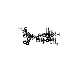 C=CC(=O)N1CCN(c2nc(OC[C@@H]3C[C@@H](OCCOCC(=O)NC(C(=O)N4C[C@H](O)C[C@H]4C(=O)N[C@@H](C)c4ccc(-c5scnc5C)cc4)C(C)(C)C)CN3C)nc3c2CCN(c2cccc4ccccc24)C3)CC1CC#N